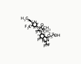 CC#Cc1ncc(N2C(=O)C(C)(C)N(c3cc(F)c4nc(C(F)F)nc(OCCO)c4c3)C2=S)cc1C(F)(F)F